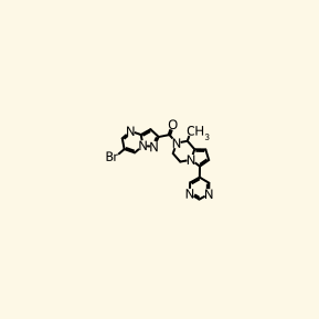 CC1c2ccc(-c3cncnc3)n2CCN1C(=O)c1cc2ncc(Br)cn2n1